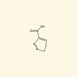 O=C(O)C1=CCCN=N1